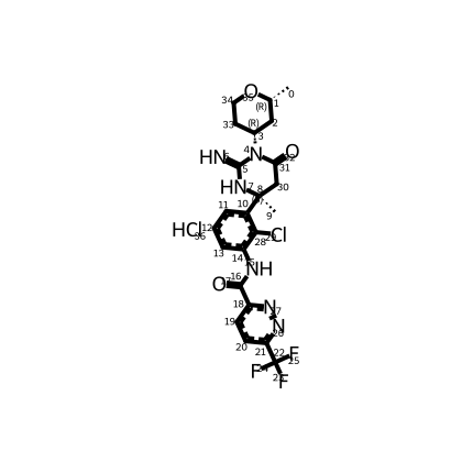 C[C@@H]1C[C@H](N2C(=N)N[C@](C)(c3cccc(NC(=O)c4ccc(C(F)(F)F)nn4)c3Cl)CC2=O)CCO1.Cl